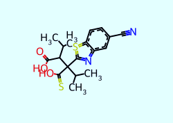 CC(C)C(C(=O)O)C(C(O)=S)(c1nc2cc(C#N)ccc2s1)C(C)C